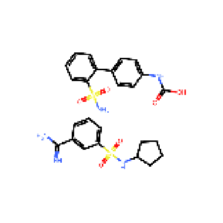 N=C(N)c1cccc(S(=O)(=O)NC2CCCC2)c1.NS(=O)(=O)c1ccccc1-c1ccc(NC(=O)O)cc1